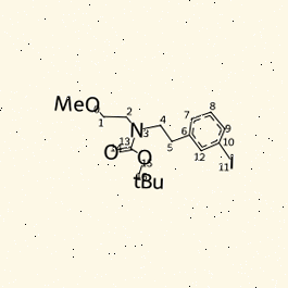 COCCN(CCc1cccc(I)c1)C(=O)OC(C)(C)C